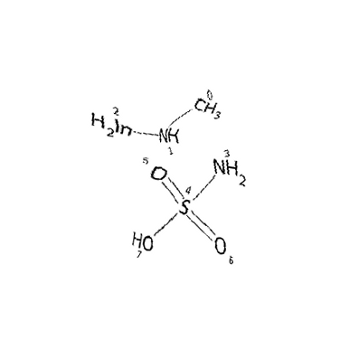 C[NH][InH2].NS(=O)(=O)O